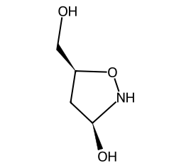 OC[C@@H]1C[C@H](O)NO1